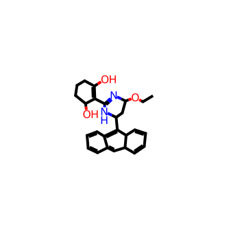 CCOC1CC(C2=c3ccccc3=CC3C=CC=CC23)NC(C2=C(O)CCCC2O)=N1